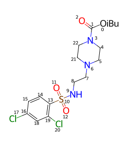 CC(C)COC(=O)N1CCN(CCNS(=O)(=O)c2ccc(Cl)cc2Cl)CC1